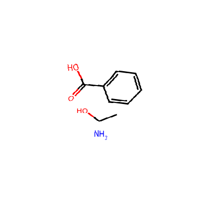 CCO.N.O=C(O)c1ccccc1